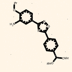 COC(OC)c1ccc(-c2nc(-c3ccc(OC(C)C)c(N)c3)no2)cc1